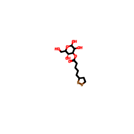 O=C(CCCCC1CCSS1)O[C@@H]1C(O)[C@H](O)OC(CO)[C@H]1O